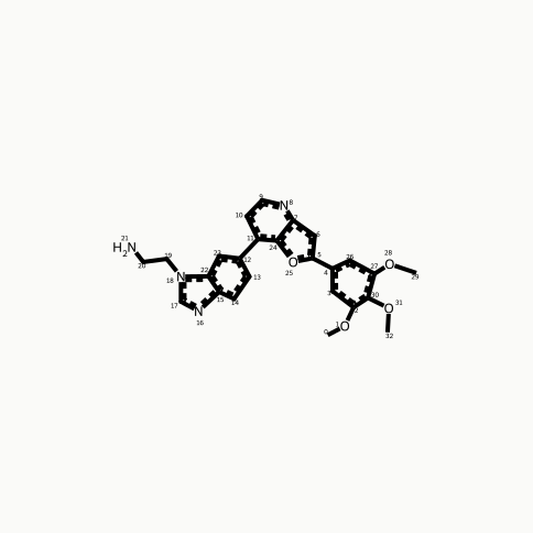 COc1cc(-c2cc3nccc(-c4ccc5ncn(CCN)c5c4)c3o2)cc(OC)c1OC